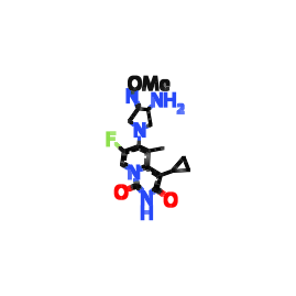 CO/N=C1/CN(c2c(F)cn3c(=O)[nH]c(=O)c(C4CC4)c3c2C)CC1N